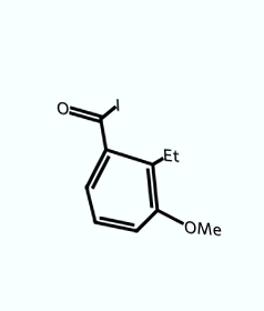 CCc1c(OC)cccc1C(=O)I